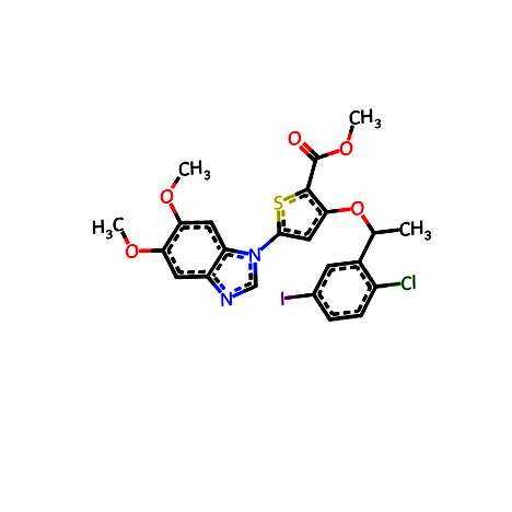 COC(=O)c1sc(-n2cnc3cc(OC)c(OC)cc32)cc1OC(C)c1cc(I)ccc1Cl